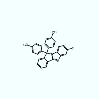 Oc1ccc(C2(c3ccc(O)cc3)c3ccccc3-c3nc4cc(Cl)ccc4n32)cc1